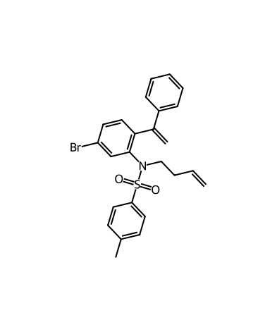 C=CCCN(c1cc(Br)ccc1C(=C)c1ccccc1)S(=O)(=O)c1ccc(C)cc1